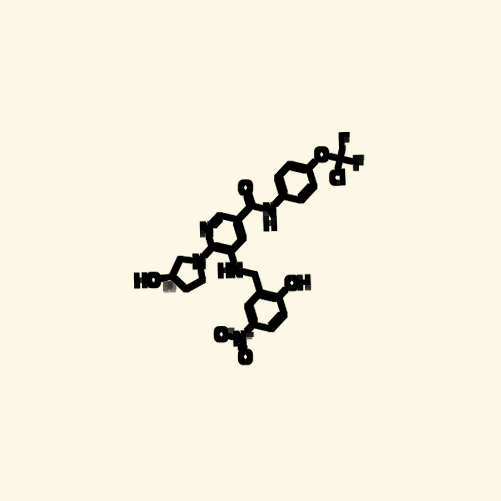 O=C(Nc1ccc(OC(F)(F)Cl)cc1)c1cnc(N2CC[C@@H](O)C2)c(NCc2cc([N+](=O)[O-])ccc2O)c1